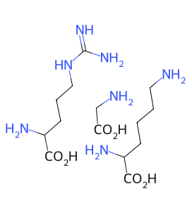 N=C(N)NCCCC(N)C(=O)O.NCC(=O)O.NCCCCC(N)C(=O)O